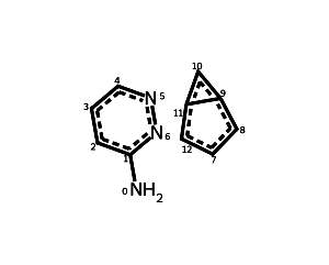 Nc1cccnn1.c1cc2cc-2c1